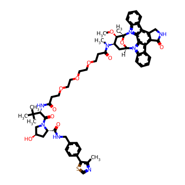 CO[C@@H]1[C@H](N(C)C(=O)CCOCCOCCOCCC(=O)N[C@H](C(=O)N2C[C@H](O)C[C@H]2C(=O)NCc2ccc(-c3scnc3C)cc2)C(C)(C)C)C[C@H]2O[C@]1(C)n1c3ccccc3c3c4c(c5c6ccccc6n2c5c31)C(=O)NC4